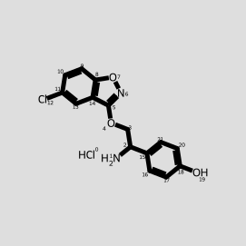 Cl.NC(COc1noc2ccc(Cl)cc12)c1ccc(O)cc1